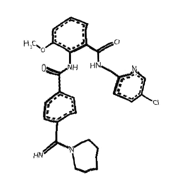 COc1cccc(C(=O)Nc2ccc(Cl)cn2)c1NC(=O)c1ccc(C(=N)N2CCCCC2)cc1